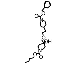 CCCCOC(=O)N1CCC(O)(COCCC2CCN(C(=O)OCc3ccccc3)CC2)CC1